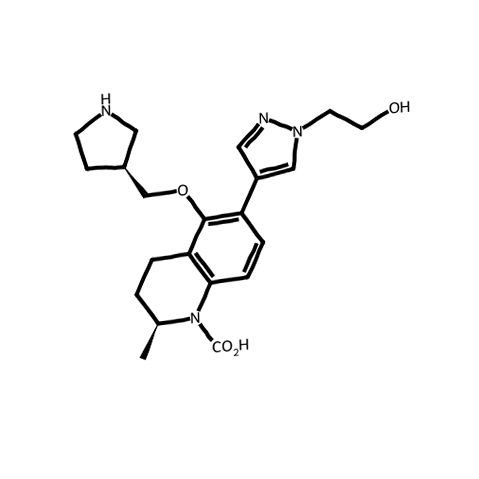 C[C@H]1CCc2c(ccc(-c3cnn(CCO)c3)c2OC[C@H]2CCNC2)N1C(=O)O